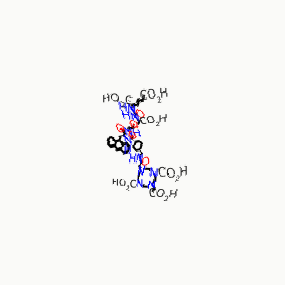 O=C(O)CCC[C@H](NC(=O)N[C@@H](COCCNC(=O)[C@H](Cc1c2ccccc2cc2ccccc12)NC(=O)[C@H]1CC[C@H](CNC(=O)CN2CCN(CC(=O)O)CCN(CC(=O)O)CCN(CC(=O)O)CC2)CC1)C(=O)O)C(=O)O